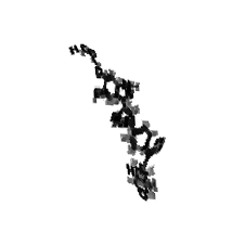 COCCOc1cc2[nH]nc(-c3cn(-c4ccc(C(=O)N5C[C@H]6COC[C@H]6C5)cc4)nn3)c2cc1F